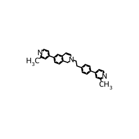 Cc1cc(-c2ccc(CCN3C=Cc4cc(-c5ccnc(C)c5)ccc4C3)cc2)ccn1